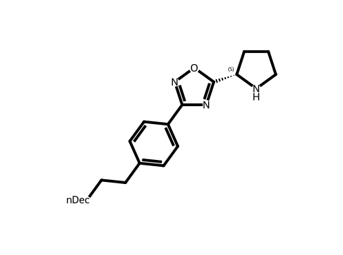 CCCCCCCCCCCCc1ccc(-c2noc([C@@H]3CCCN3)n2)cc1